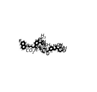 Cc1nc2ccc(C(=O)N3CCN(CCn4c(C(=O)O)c(CCCOc5cccc6cc(F)ccc56)c5ccc(Cl)c(-c6c(C)nn(C)c6C)c54)CC3)cc2cc1C1CCC(=O)NC1=O